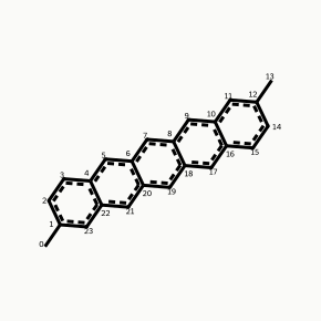 Cc1ccc2cc3cc4cc5cc(C)ccc5cc4cc3cc2c1